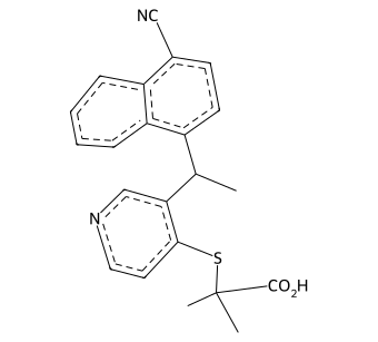 CC(c1cnccc1SC(C)(C)C(=O)O)c1ccc(C#N)c2ccccc12